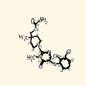 Cn1c(N2CCC(C)(COC(N)=O)CC2)ncc(Sc2cccc(Cl)c2Cl)c1=O